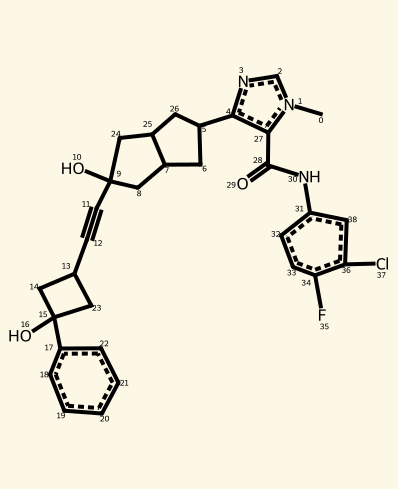 Cn1cnc(C2CC3CC(O)(C#CC4CC(O)(c5ccccc5)C4)CC3C2)c1C(=O)Nc1ccc(F)c(Cl)c1